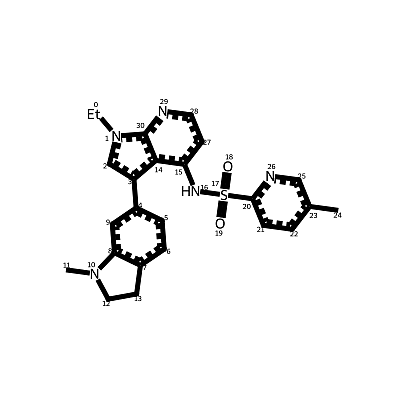 CCn1cc(-c2ccc3c(c2)N(C)CC3)c2c(NS(=O)(=O)c3ccc(C)cn3)ccnc21